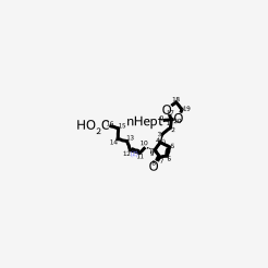 CCCCCCCC1(CC[C@H]2C=CC(=O)[C@@H]2C/C=C\CCCC(=O)O)OCCO1